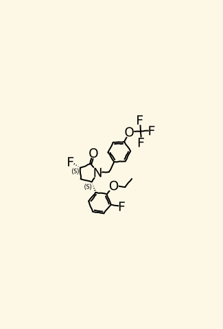 CCOc1c(F)cccc1[C@@H]1C[C@H](F)C(=O)N1Cc1ccc(OC(F)(F)F)cc1